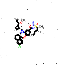 C=CC[C@H](C)[C@@H](C)S(N)(=O)=NC(=O)c1ccc2c(c1)N(C[C@@H]1CC[C@H]1[C@H](C=C)OC)C[C@@]1(CCCc3cc(Cl)ccc31)CO2